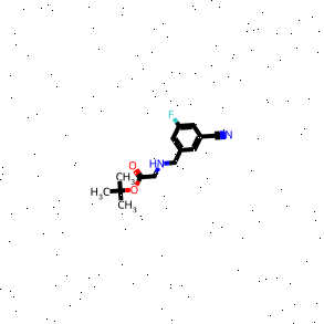 CC(C)(C)OC(=O)CNCc1cc(F)cc(C#N)c1